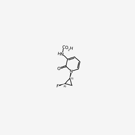 O=C(O)Nc1cccn([C@H]2C[C@H]2F)c1=O